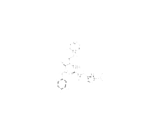 CC(C)c1nc(CN(C)C(=O)NC(CCN2CCOCC2)C(=O)OCc2ccccc2)cs1